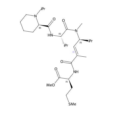 COC(=O)[C@H](CCSC)NC(=O)/C(C)=C/[C@H](C(C)C)N(C)C(=O)[C@@H](NC(=O)[C@H]1CCCCN1C(C)C)C(C)C